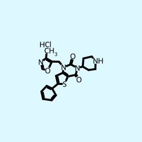 Cc1ncoc1Cn1c(=O)n(C2CCNCC2)c(=O)c2sc(-c3ccccc3)cc21.Cl